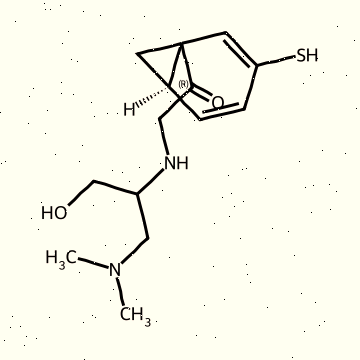 CN(C)CC(CO)NCC(=O)C12C=C(S)C=C[C@H]1C2